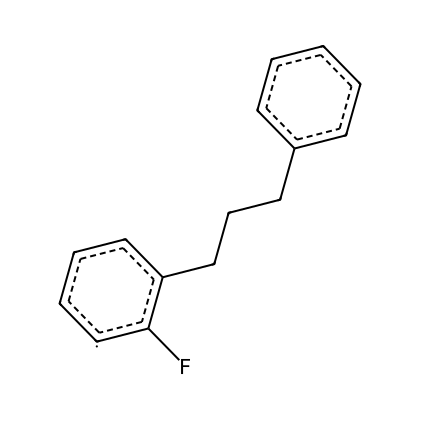 Fc1[c]cccc1CCCc1ccccc1